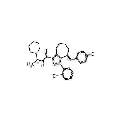 C[C@H](NC(=O)c1nn(-c2ccccc2Cl)c2c1CCCC/C2=C\c1ccc(Cl)cc1)C1CCCCC1